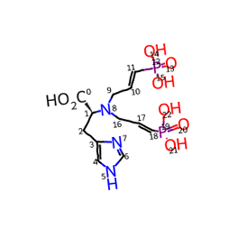 O=C(O)[C@H](Cc1c[nH]cn1)N(CC=CP(=O)(O)O)CC=CP(=O)(O)O